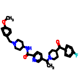 C=C(c1ccc(C(=O)NC2CCN(Cc3ccc(OC)cc3)CC2)nc1)N1CCC(C(=O)c2ccc(F)cc2)CC1